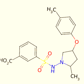 Cc1ccc(OC2CC(C)N(NS(=O)(=O)c3cccc(C(=O)O)c3)C2)cc1